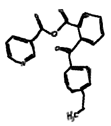 CCc1ccc(C(=O)c2ccccc2C(=O)OC(=O)c2cccnc2)cc1